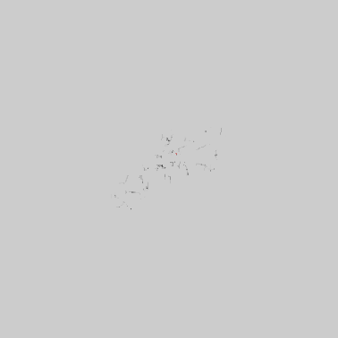 Cc1ccnc(C(=O)N2C[C@@H]3CC[C@H]2[C@H](Oc2ccc(C(F)(F)F)cn2)C3)c1-c1nccs1